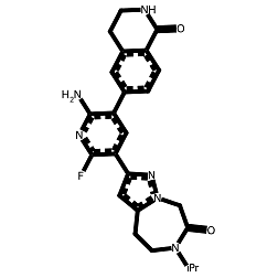 CC(C)N1CCc2cc(-c3cc(-c4ccc5c(c4)CCNC5=O)c(N)nc3F)nn2CC1=O